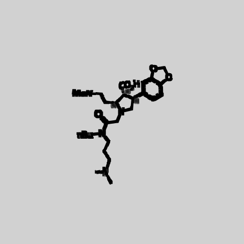 CCCCN(CCCN(C)C)C(=O)CN1C[C@H](c2ccc3c(c2)OCO3)[C@@H](C(=O)O)[C@@H]1CCNC